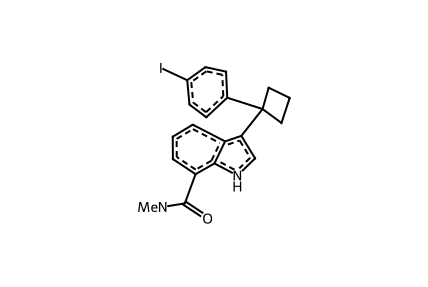 CNC(=O)c1cccc2c(C3(c4ccc(I)cc4)CCC3)c[nH]c12